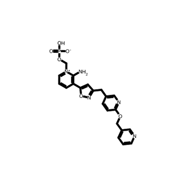 Nc1c(-c2cc(Cc3ccc(OCc4cccnc4)nc3)no2)ccc[n+]1COP(=O)([O-])O